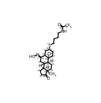 C[C@]12CC[C@H](SCCCCNC(=O)C(F)(F)F)CC1/C(=N/O)C[C@@H]1[C@@H]2CC[C@]2(C)C(=O)CC[C@@H]12